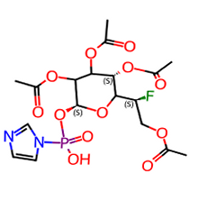 CC(=O)OC[C@H](F)C1O[C@@H](OP(=O)(O)n2ccnc2)C(OC(C)=O)C(OC(C)=O)[C@@H]1OC(C)=O